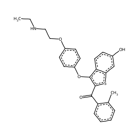 CCNCCOc1ccc(Oc2c(C(=O)c3ccccc3C)sc3cc(O)ccc23)cc1